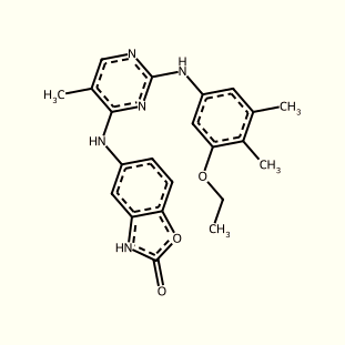 CCOc1cc(Nc2ncc(C)c(Nc3ccc4oc(=O)[nH]c4c3)n2)cc(C)c1C